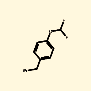 CC(C)[CH]c1ccc(OC(F)F)cc1